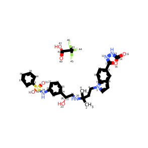 CC(C)(CCn1ccc2cc(-c3n[nH]c(=O)o3)ccc21)NC[C@H](O)c1cccc(NS(=O)(=O)c2ccccc2)c1.O=C(O)C(F)(F)F